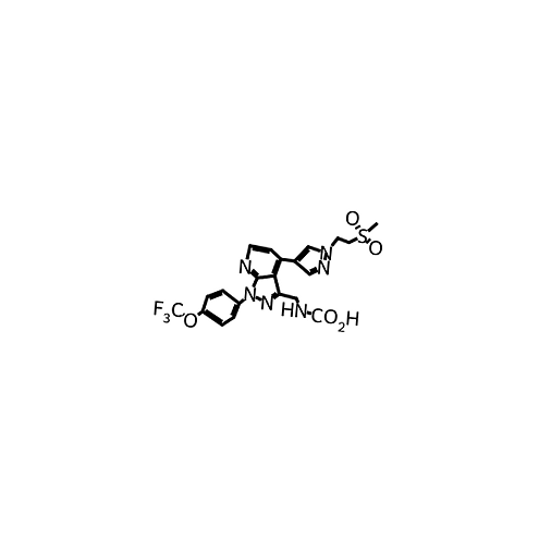 CS(=O)(=O)CCn1cc(-c2ccnc3c2c(CNC(=O)O)nn3-c2ccc(OC(F)(F)F)cc2)cn1